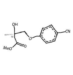 COC(=O)[C@@](C)(O)COc1ccc(C#N)cc1